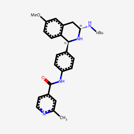 CCCCN[C@H]1Cc2cc(OC)ccc2[C@H](c2ccc(NC(=O)c3ccnc(C)c3)cc2)N1